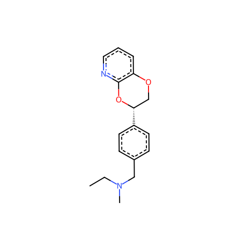 CCN(C)Cc1ccc([C@H]2COc3cccnc3O2)cc1